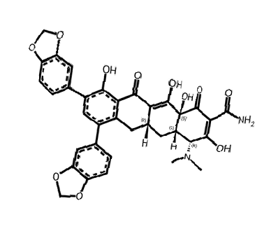 CN(C)[C@H]1C(O)=C(C(N)=O)C(=O)[C@@]2(O)C(O)=C3C(=O)c4c(O)c(-c5ccc6c(c5)OCO6)cc(-c5ccc6c(c5)OCO6)c4C[C@H]3C[C@@H]12